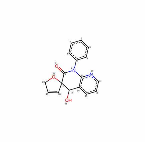 O=C1N(c2ccccc2)c2ncccc2C(O)C12C=CCO2